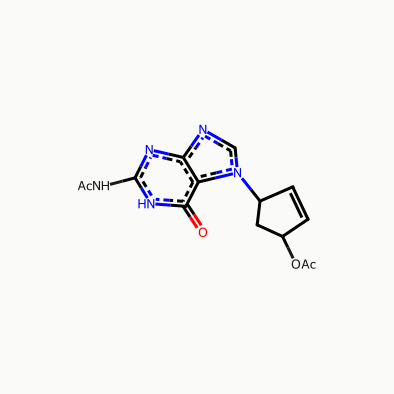 CC(=O)Nc1nc2ncn(C3C=CC(OC(C)=O)C3)c2c(=O)[nH]1